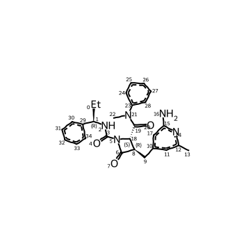 CC[C@@H](NC(=O)N1C(=O)[C@H](Cc2cc(C)nc(N)c2)[C@H]1C(=O)N(C)c1ccccc1)c1ccccc1